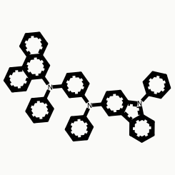 c1ccc(N(c2cccc(N(c3ccccc3)c3cc4ccccc4c4ccccc34)c2)c2ccc3c(c2)c2ccccc2n3-c2ccccc2)cc1